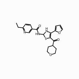 CCc1ccc(C(=O)NC2NC(c3ccco3)=C(C(=O)C3CCOCC3)S2)cn1